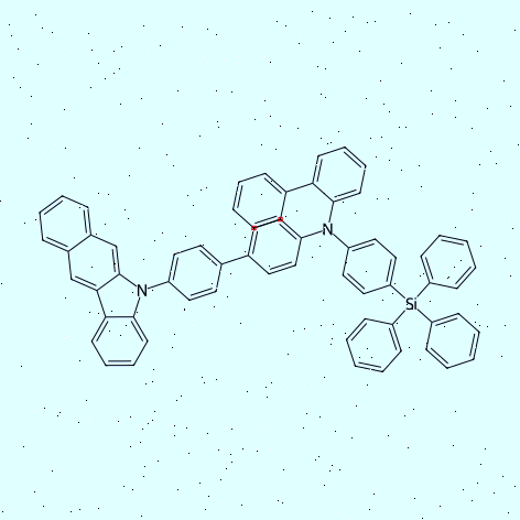 c1ccc(-c2ccccc2N(c2ccc(-c3ccc(-n4c5ccccc5c5cc6ccccc6cc54)cc3)cc2)c2ccc([Si](c3ccccc3)(c3ccccc3)c3ccccc3)cc2)cc1